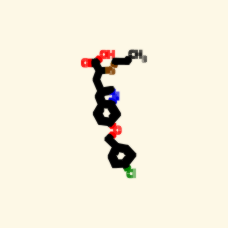 CCCSC(Cc1cnc2cc(OCc3ccc(Cl)cc3)ccc2c1)C(=O)O